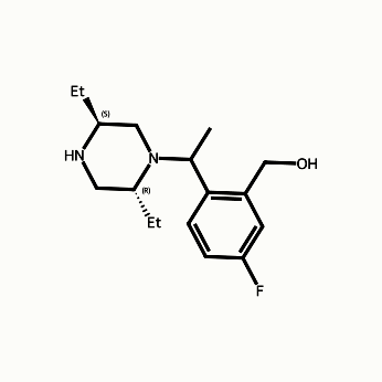 CC[C@H]1CN(C(C)c2ccc(F)cc2CO)[C@H](CC)CN1